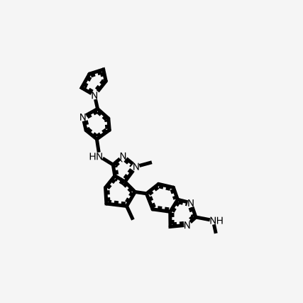 CNc1ncc2cc(-c3c(C)ccc4c(Nc5ccc(-n6cccc6)nc5)nn(C)c34)ccc2n1